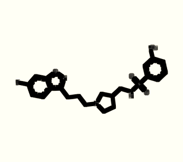 CC(C)(C)c1cccc(S(=O)(=O)NCC2CCN(CCCc3noc4cc(F)ccc34)C2)c1